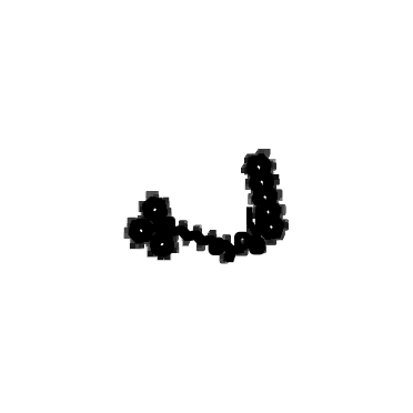 C=C(COCCCCCCOC(c1ccccc1)(c1ccccc1)c1ccccc1)COC(=O)Nc1cccc2cc3cc4cc5ccccc5cc4cc3cc12